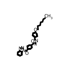 CCCCCCCCOc1ccc(-c2nnc(-c3ccc(C(=O)n4nnc5ccccc54)cc3)o2)cc1